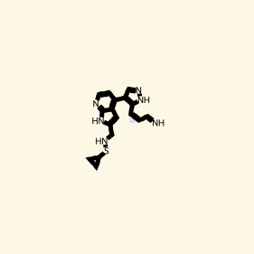 N=C/C=C\c1[nH]ncc1-c1ccnc2[nH]c(CNSC3CC3)cc12